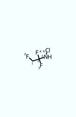 FCC(F)(F)NCl